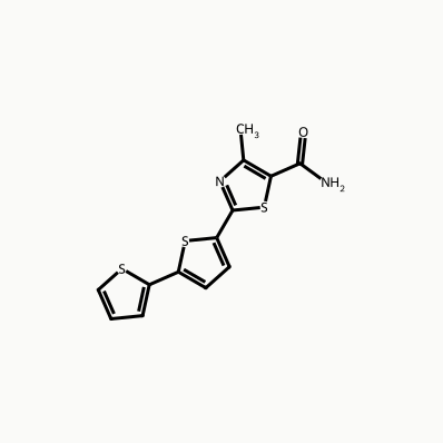 Cc1nc(-c2ccc(-c3cccs3)s2)sc1C(N)=O